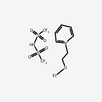 CCOCC[n+]1ccccc1.O=S(=O)(NS(=O)(=O)C(F)(F)F)C(F)(F)F